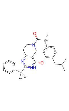 CC(C)Cc1ccc([C@@H](C)C(=O)N2CCc3nc(C4(c5ccccc5)CC4)[nH]c(=O)c3C2)cc1